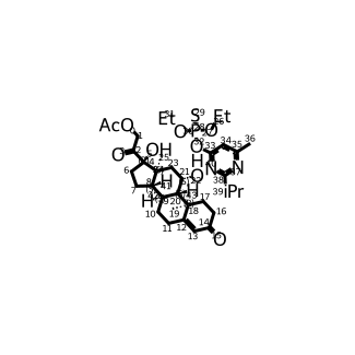 CC(=O)OCC(=O)[C@@]1(O)CC[C@H]2[C@@H]3CCC4=CC(=O)CC[C@]4(C)[C@H]3[C@@H](O)C[C@@]21C.CCOP(=S)(OCC)Oc1cc(C)nc(C(C)C)n1